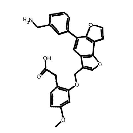 COc1ccc(CC(=O)O)c(OCc2coc3c2cc(-c2cccc(CN)c2)c2occc23)c1